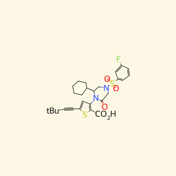 CC(C)(C)C#Cc1cc(N2C(=O)CN(S(=O)(=O)c3cccc(F)c3)CC2C2CCCCC2)c(C(=O)O)s1